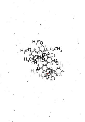 CCCCc1cc(OC)cc2c1op(Oc1c(-c3cc(OC)cc(C(C)(C)C)c3OP(C3CCCCC3)C3CCCCC3)cc(OC)cc1C(C)(C)C)oc1c(C(C)(C)C)cc(OC)cc12